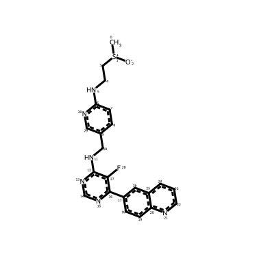 C[S+]([O-])CCNc1ccc(CNc2ncnc(-c3ccc4ncccc4c3)c2F)cn1